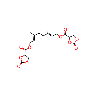 C/C(=C\COC(=O)C1COC(=O)O1)CC/C(C)=C/COC(=O)C1COC(=O)O1